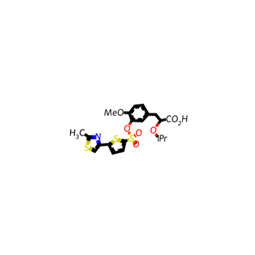 COc1ccc(CC(OC(C)C)C(=O)O)cc1OS(=O)(=O)c1ccc(-c2csc(C)n2)s1